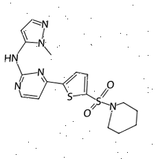 Cn1nccc1Nc1nccc(-c2ccc(S(=O)(=O)N3CCCCC3)s2)n1